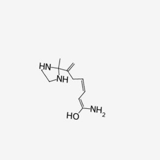 C=C(C/C=C\C=C(/N)O)C1(C)NCCN1